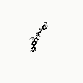 C[C@@H]1C[C@H](N(C)CCC(=O)N[C@H](CF)[C@H](O)c2ccc(-c3cncnc3)cc2)C[C@H](O)O1